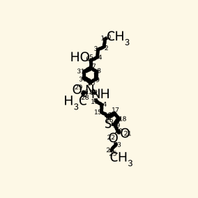 CCCCCC(O)c1ccc(N(NCCCc2ccc(C(=O)OCCC)s2)C(C)=O)cc1